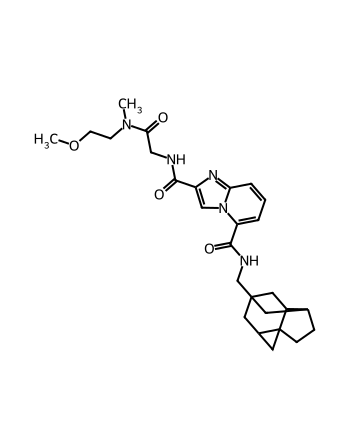 COCCN(C)C(=O)CNC(=O)c1cn2c(C(=O)NCC34CC5CCC6(CC6C3)C5C4)cccc2n1